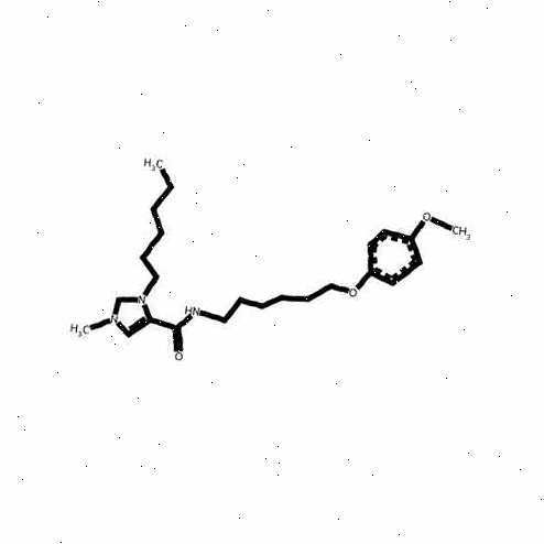 CCCCCCN1CN(C)C=C1C(=O)NCCCCCCOc1ccc(OC)cc1